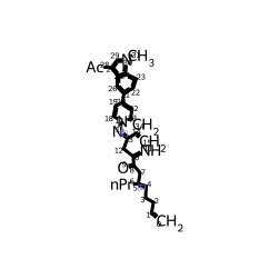 C=CCC/C=C(\CCC)CC(=O)C(=N)C/C(C=C)=N/N1C=CC(c2ccc3c(c2)c(C(C)=O)cn3C)=CC1=C